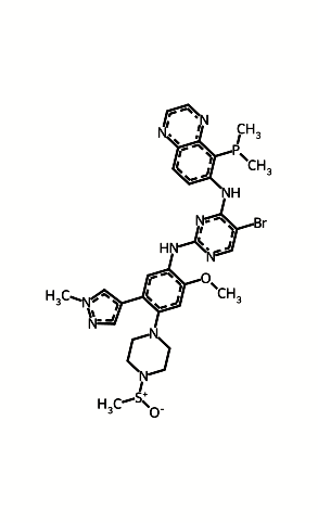 COc1cc(N2CCN([S+](C)[O-])CC2)c(-c2cnn(C)c2)cc1Nc1ncc(Br)c(Nc2ccc3nccnc3c2P(C)C)n1